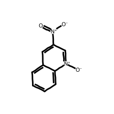 O=[N+]([O-])c1cc2ccccc2[n+]([O-])c1